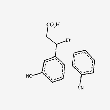 CCC(CC(=O)O)c1cccc(C#N)c1.N#Cc1ccccc1